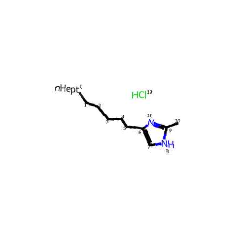 CCCCCCCCCCCCc1c[nH]c(C)n1.Cl